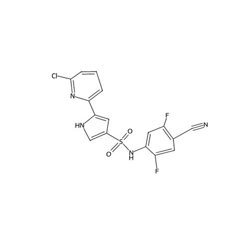 N#Cc1cc(F)c(NS(=O)(=O)c2c[nH]c(-c3cccc(Cl)n3)c2)cc1F